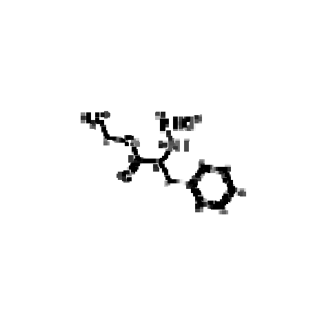 CCOC(=O)C(Cc1ccccc1)NF.Cl